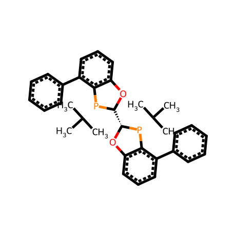 CC(C)(C)[P@@]1c2c(cccc2-c2ccccc2)OC1[C@H]1Oc2cccc(-c3ccccc3)c2[P@]1C(C)(C)C